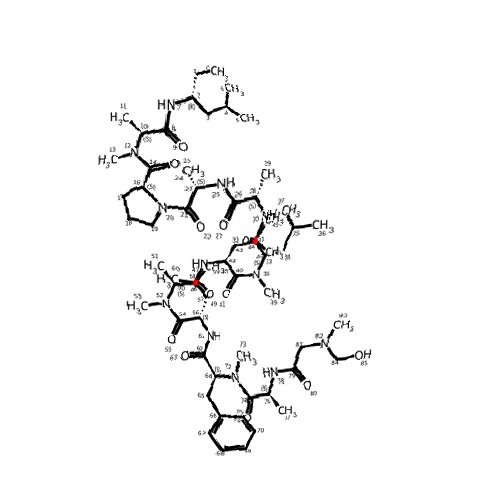 CC[C@H](CC(C)C)NC(=O)[C@H](C)N(C)C(=O)[C@@H]1CCCN1C(=O)[C@H](C)NC(=O)[C@H](C)NC(=O)[C@H](CC(C)C)N(C)C(=O)[C@H](CC(C)C)NC(=O)[C@H](C)N(C)C(=O)[C@H](CC(C)C)NC(=O)[C@H](Cc1ccccc1)N(C)C(=O)[C@H](C)NC(=O)CN(C)CO